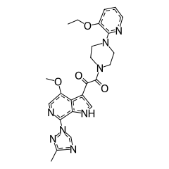 CCOc1cccnc1N1CCN(C(=O)C(=O)c2c[nH]c3c(-n4cnc(C)n4)ncc(OC)c23)CC1